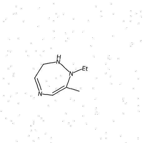 CCN1NCC=NC=C1C